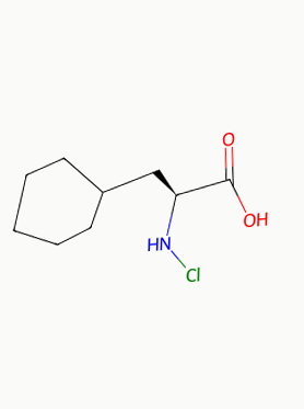 O=C(O)[C@H](CC1CCCCC1)NCl